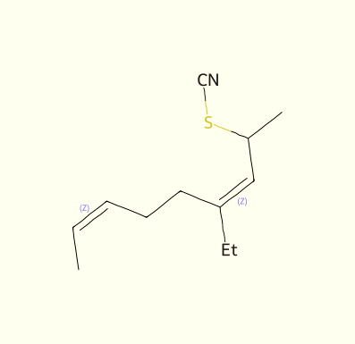 C/C=C\CC/C(=C\C(C)SC#N)CC